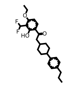 CCCc1ccc(C2CCC(CC(=O)c3ccc(OCC)c(C(F)F)c3O)CC2)cc1